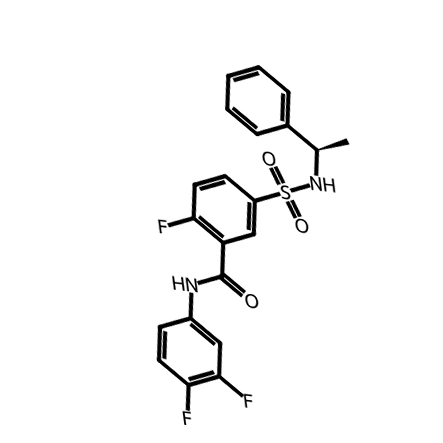 C[C@@H](NS(=O)(=O)c1ccc(F)c(C(=O)Nc2ccc(F)c(F)c2)c1)c1ccccc1